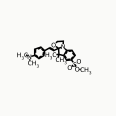 COS(=O)(=O)c1ccc2c(c1)C(C)(C)C1(/C=C/c3ccc(N(C)C)cc3)OCCN21